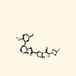 COc1ccc(F)cc1-c1ccnc2[nH]c(C3=CC(C(=O)NC4CC(F)C4)NC3)cc12